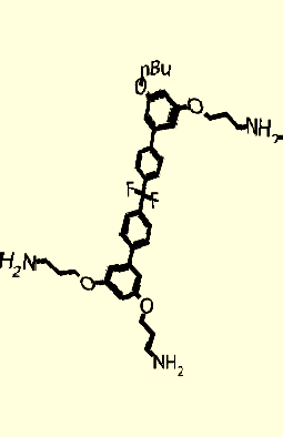 CCCCOc1cc(OCCCN)cc(-c2ccc(C(F)(F)c3ccc(-c4cc(OCCCN)cc(OCCCN)c4)cc3)cc2)c1